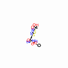 O=C(Nc1cnoc1C#Cc1nc2nc(C3(C(=O)O)CC3)sc2s1)OCc1ccccc1